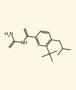 C=C(N)NC(=C)c1ccc(CC(C)C)c(C(C)(C)C)c1